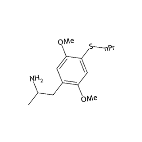 CCCSc1cc(OC)c(CC(C)N)cc1OC